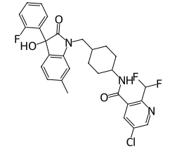 Cc1ccc2c(c1)N(CC1CCC(NC(=O)c3cc(Cl)cnc3C(F)F)CC1)C(=O)C2(O)c1ccccc1F